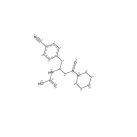 N#Cc1ccc(CC(CC(=O)N2CCOCC2)NC(=O)O)cc1